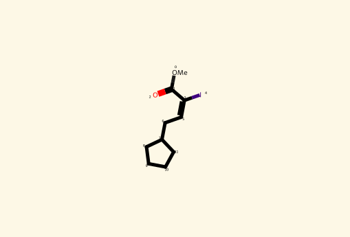 COC(=O)/C(I)=C\CC1CCCC1